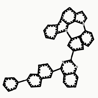 c1ccc(-c2ccc3cc(-c4nc(-c5cccc(-n6c7ccccc7c7ccc8ccn(-c9ccccc9)c8c76)c5)nc5ccccc45)ccc3c2)cc1